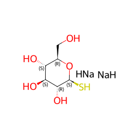 OC[C@H]1O[C@@H](S)[C@H](O)[C@@H](O)[C@@H]1O.[NaH].[NaH]